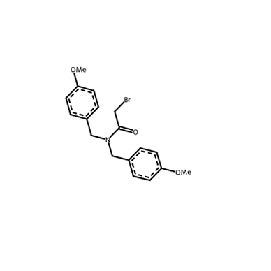 COc1ccc(CN(Cc2ccc(OC)cc2)C(=O)CBr)cc1